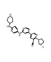 N#Cc1cc(-c2ccnc(Nc3ccc(NC4CCNCC4)nc3)n2)cnc1N1CC[C@H](F)C1